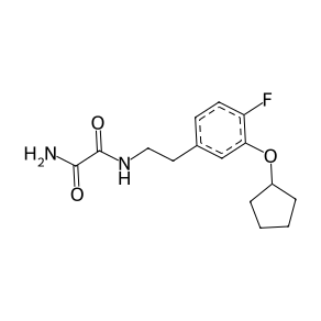 NC(=O)C(=O)NCCc1ccc(F)c(OC2CCCC2)c1